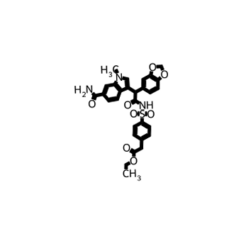 CCOC(=O)Cc1ccc(S(=O)(=O)NC(=O)C(c2ccc3c(c2)OCO3)c2cn(C)c3cc(C(N)=O)ccc23)cc1